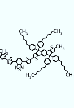 CCCCCCc1ccc(C2(c3ccc(CCCCCC)cc3)c3cc4c(cc3-c3sc(C)cc32)C(c2ccc(CCCCCC)cc2)(c2ccc(CCCCCC)cc2)c2cc(-c3ccc(-c5ccc(-c6ccc(-c7ccc(C)s7)s6)c6nsnc56)s3)sc2-4)cc1